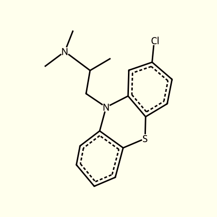 CC(CN1c2ccccc2Sc2ccc(Cl)cc21)N(C)C